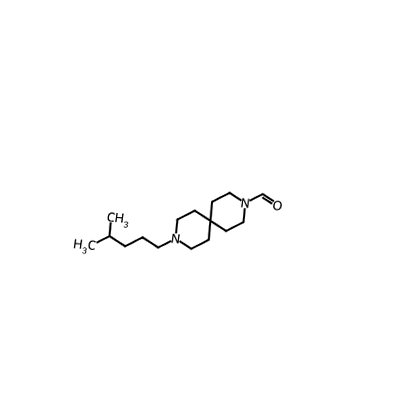 CC(C)CCCN1CCC2(CCN(C=O)CC2)CC1